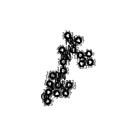 c1ccc([Si](c2ccccc2)(c2ccccc2)c2ccc(-c3cc(-n4c5ccccc5n5c6ccccc6nc45)nc(-n4c5ccccc5n5c6ccc(-c7ccc8nc9n(-c%10cc([Si](c%11ccccc%11)(c%11ccccc%11)c%11ccc%12oc%13ccccc%13c%12c%11)cc(-n%11c%12ccccc%12c%12ccccc%12%11)n%10)c%10ccccc%10n9c8c7)cc6nc45)c3)cc2)cc1